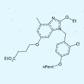 CCCCCOc1ccc(Cn2c(OCC)nc3c(C)cc(OCCCC(=O)OCC)cc32)c(Cl)c1